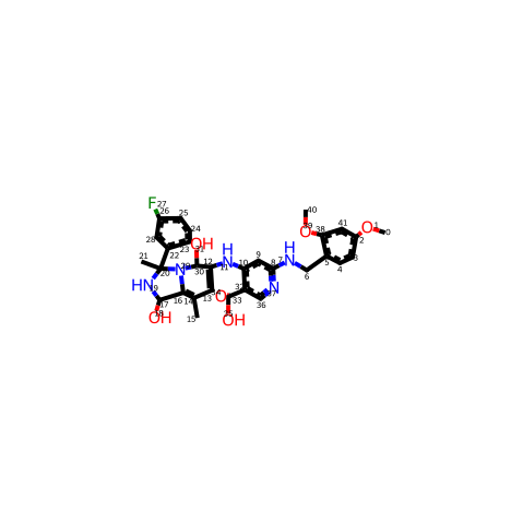 COc1ccc(CNc2cc(NC3=CC(C)=C4C(O)NC(C)(c5cccc(F)c5)N4C3O)c(C(=O)O)cn2)c(OC)c1